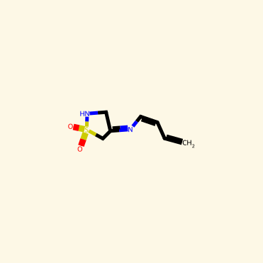 C=C/C=C\N=C1/CNS(=O)(=O)C1